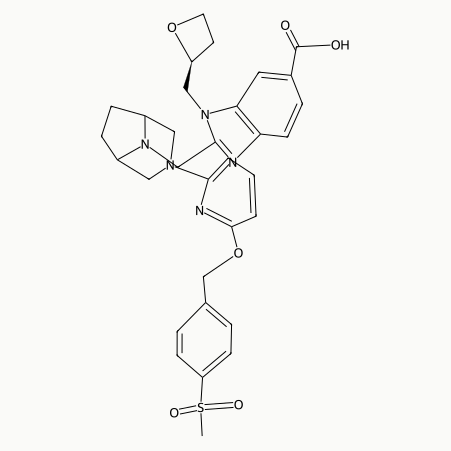 CS(=O)(=O)c1ccc(COc2cccc(N3CC4CCC(C3)N4Cc3nc4ccc(C(=O)O)cc4n3C[C@@H]3CCO3)n2)cc1